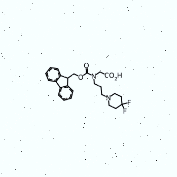 O=C(O)CN(CCCN1CCC(F)(F)CC1)C(=O)OCC1c2ccccc2-c2ccccc21